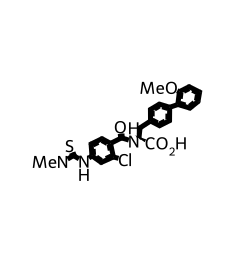 CNC(=S)Nc1ccc(C(=O)N[C@@H](Cc2ccc(-c3ccccc3OC)cc2)C(=O)O)c(Cl)c1